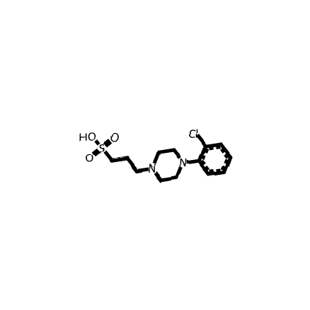 O=S(=O)(O)CCCN1CCN(c2ccccc2Cl)CC1